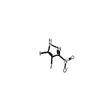 O=[N+]([O-])c1n[nH]c(I)c1I